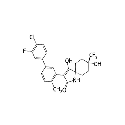 Cc1ccc(-c2ccc(Cl)c(F)c2)cc1C1=C(O)[C@]2(CC[C@](O)(C(F)(F)F)CC2)NC1=O